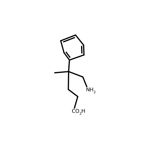 CC(CN)(CCC(=O)O)c1ccccc1